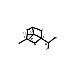 CC1CC2CC(C(C)C)(C1)C2(C)C